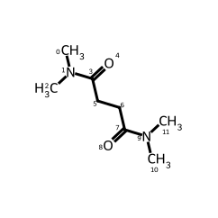 CN(C)C(=O)CCC(=O)N(C)C